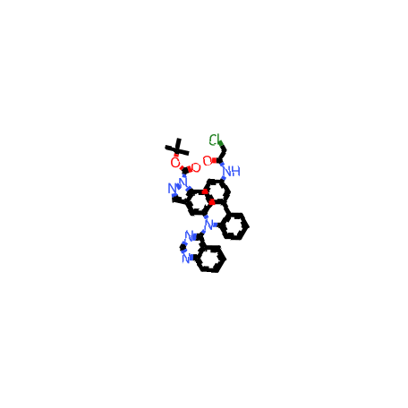 CC(C)(C)OC(=O)n1ncc2cc(N(c3ccccc3-c3cccc(NC(=O)CCl)c3)c3ncnc4ccccc34)ccc21